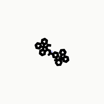 C=CC1=C(/C=C(\C)c2ccc3c(c2)C2(C)CCCCC2(C)[Si]3(c2ccccc2)c2ccccc2)c2ccccc2C1(c1ccccc1)c1ccccc1